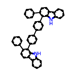 c1ccc(-c2ccc3c([nH]c4ccccc43)c2-c2ccc(-c3ccc(-c4c(-c5ccccc5)ccc5c4[nH]c4ccccc45)cc3)cc2)cc1